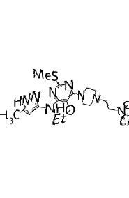 CCOc1c(Nc2cc(C)[nH]n2)nc(SC)nc1N1CCN(CCN(C)C)CC1